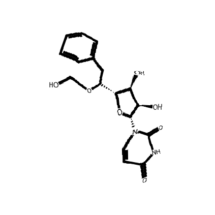 O=c1ccn([C@@H]2O[C@H](C(Cc3ccccc3)OCO)[C@@H](O)[C@H]2O)c(=O)[nH]1